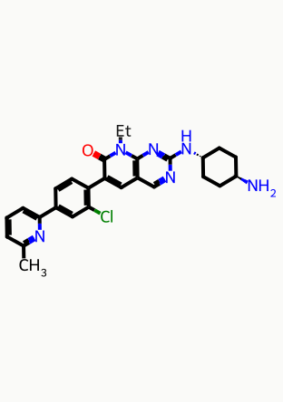 CCn1c(=O)c(-c2ccc(-c3cccc(C)n3)cc2Cl)cc2cnc(N[C@H]3CC[C@H](N)CC3)nc21